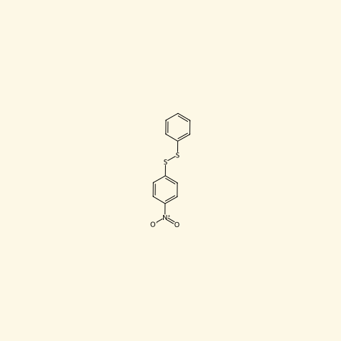 O=[N+]([O-])c1ccc(SSc2ccccc2)cc1